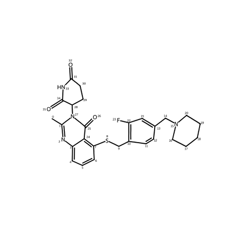 Cc1nc2cccc(SCc3ccc(CN4CCCCC4)cc3F)c2c(=O)n1C1CCC(=O)NC1=O